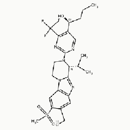 CCC[C@H](O)c1cnc(N2CCn3c(nc4cc(CO)c(S(C)(=O)=O)cc43)[C@H]2C(C)C)nc1C(F)(F)F